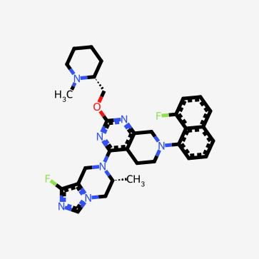 C[C@@H]1Cn2cnc(F)c2CN1c1nc(OC[C@H]2CCCCN2C)nc2c1CCN(c1cccc3cccc(F)c13)C2